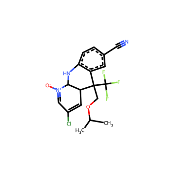 CC(C)OCC1(C(F)(F)F)c2cc(C#N)ccc2NC2C1C=C(Cl)C=[N+]2[O-]